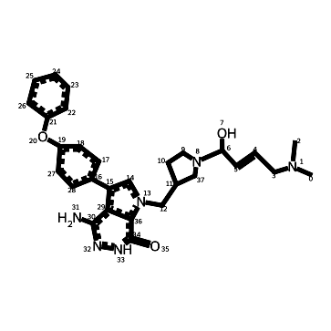 CN(C)C/C=C/C(O)N1CCC(Cn2cc(-c3ccc(Oc4ccccc4)cc3)c3c(N)n[nH]c(=O)c32)C1